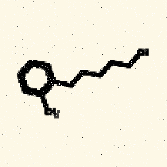 [CH2]c1ccccc1CCCCCO